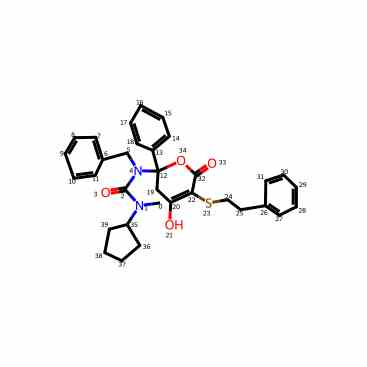 CN(C(=O)N(Cc1ccccc1)C1(c2ccccc2)CC(O)=C(SCCc2ccccc2)C(=O)O1)C1CCCC1